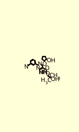 CC(C)(O)CONC(=O)c1c(N)nc(-c2cccc(C#N)c2)nc1OC1CCCC1O